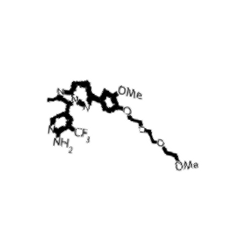 COCCOCCOCCOc1ccc(-c2ccc3nc(C)c(-c4cnc(N)c(C(F)(F)F)c4)n3n2)cc1OC